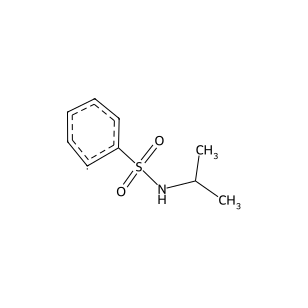 CC(C)NS(=O)(=O)c1[c]cccc1